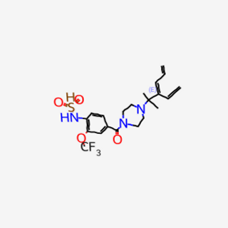 C=C/C=C(\C=C)C(C)(C)N1CCN(C(=O)c2ccc(N[SH](=O)=O)c(OC(F)(F)F)c2)CC1